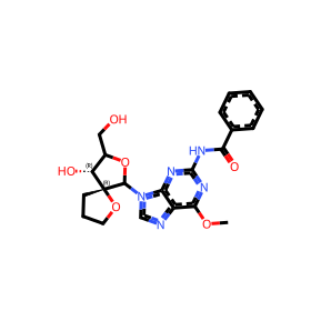 COc1nc(NC(=O)c2ccccc2)nc2c1ncn2C1OC(CO)[C@@H](O)[C@]12CCCO2